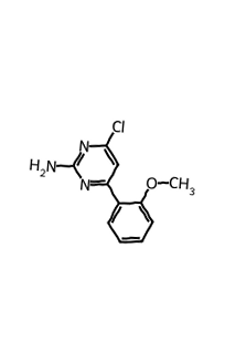 COc1ccccc1-c1cc(Cl)nc(N)n1